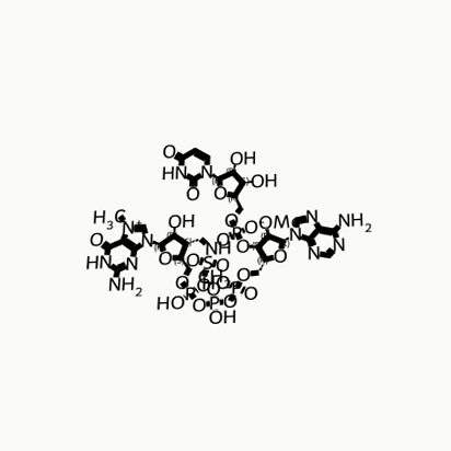 CO[C@@H]1[C@H](OP(=O)([O-])OC[C@H]2O[C@@H](n3ccc(=O)[nH]c3=O)[C@H](O)[C@@H]2O)[C@@H](COP(=O)(O)OP(=O)(O)OP(=O)(O)OC[C@H]2O[C@@H](n3c[n+](C)c4c(=O)[nH]c(N)nc43)[C@H](O)[C@@H]2CNS(C)(=O)=O)O[C@H]1n1cnc2c(N)ncnc21